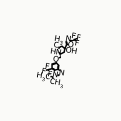 CC(C)n1cnc2cc(OC[C@@H]3C[C@](O)(c4cnc(C(F)(F)F)o4)C[C@H](C)N3)cc(C(F)(F)F)c21